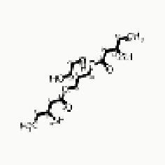 CCC(S)CC(=O)OCCCOC(=O)CC(S)CC.OCCO